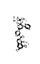 C[C@H]1c2c(Cl)cc(Cl)cc2CCN1C(=O)[C@H]1CN(C(=O)CN(C(=O)OC(C)(C)C)c2cnccn2)CCO1